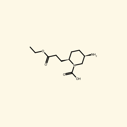 CCOC(=O)CC[C@H]1CC[C@@H](N)CN1C(=O)O